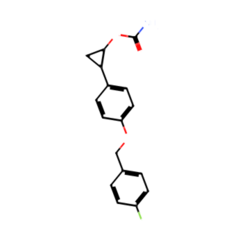 NC(=O)OC1CC1c1ccc(OCc2ccc(F)cc2)cc1